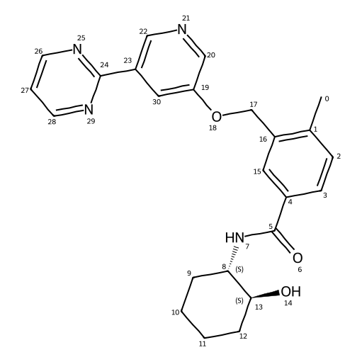 Cc1ccc(C(=O)N[C@H]2CCCC[C@@H]2O)cc1COc1cncc(-c2ncccn2)c1